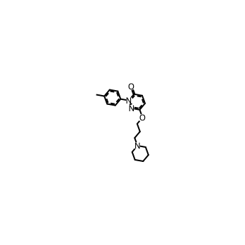 Cc1ccc(-n2nc(OCCCN3CCCCC3)ccc2=O)cc1